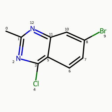 Cc1nc(Cl)c2ccc(Br)cc2n1